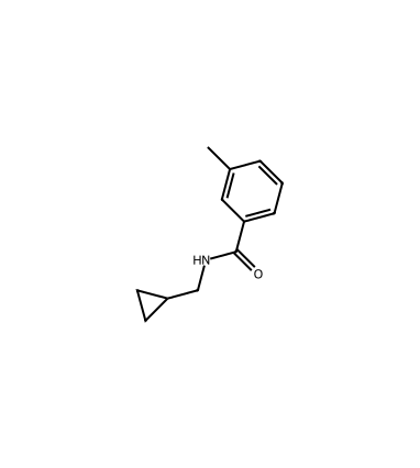 Cc1cccc(C(=O)NCC2CC2)c1